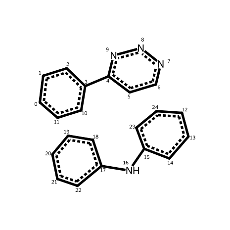 c1ccc(-c2ccnnn2)cc1.c1ccc(Nc2ccccc2)cc1